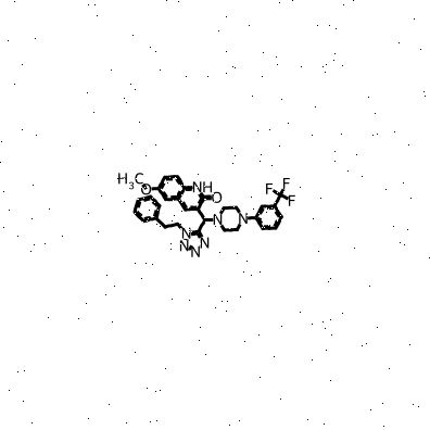 COc1ccc2[nH]c(=O)c(C(c3nnnn3CCc3ccccc3)N3CCN(c4cccc(C(F)(F)F)c4)CC3)cc2c1